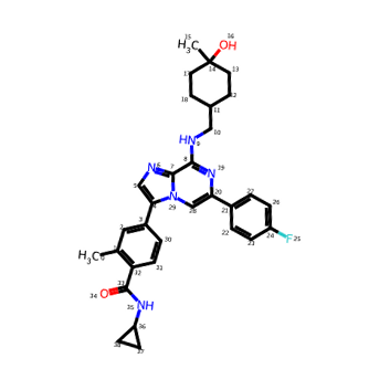 Cc1cc(-c2cnc3c(NCC4CCC(C)(O)CC4)nc(-c4ccc(F)cc4)cn23)ccc1C(=O)NC1CC1